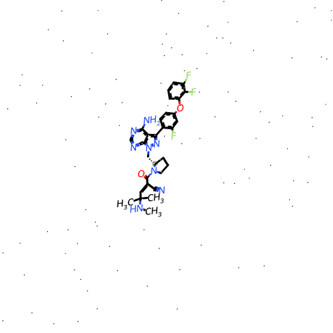 CNC(C)(C)C=C(C#N)C(=O)N1CCC[C@H]1Cn1nc(-c2ccc(Oc3cccc(F)c3F)cc2F)c2c(N)ncnc21